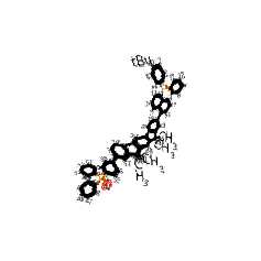 CC(C)(C)c1ccc(P(c2ccccc2)c2cccc3c(-c4ccc5c(c4)C(C)(C)c4cc6c(cc4-5)-c4ccc(-c5ccc(P(=O)(c7ccccc7)c7ccccc7)cc5)cc4C6(C)C)cccc23)cc1